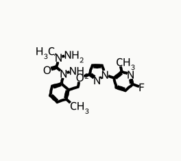 Cc1cccc(N(N)C(=O)N(C)N)c1COc1ccn(-c2ccc(F)nc2C)n1